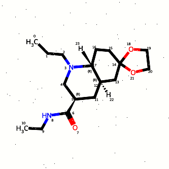 CCCN1C[C@H](C(=O)NCC)C[C@@H]2CC3(CC[C@H]21)OCCO3